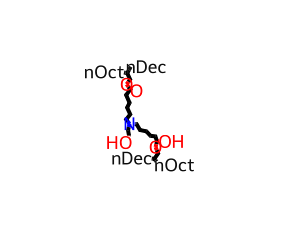 CCCCCCCCCCC(CCCCCCCC)COC(=O)CCCCCN(CCO)CCCCCC(O)OCC(CCCCCCCC)CCCCCCCCCC